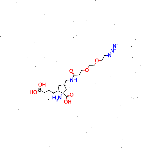 [N-]=[N+]=NCCOCCOCCC(=O)NC[C@@H]1C[C@H](CCCB(O)O)[C@](N)(C(=O)O)C1